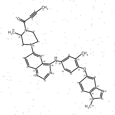 CC#CC(=O)N1CCN(c2ccc3ncnc(Nc4ccc(Oc5ccc6c(c5)ncn6C)c(C)c4)c3n2)CC1C